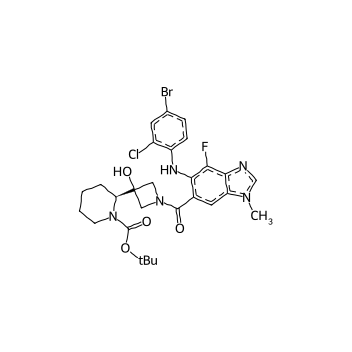 Cn1cnc2c(F)c(Nc3ccc(Br)cc3Cl)c(C(=O)N3CC(O)([C@@H]4CCCCN4C(=O)OC(C)(C)C)C3)cc21